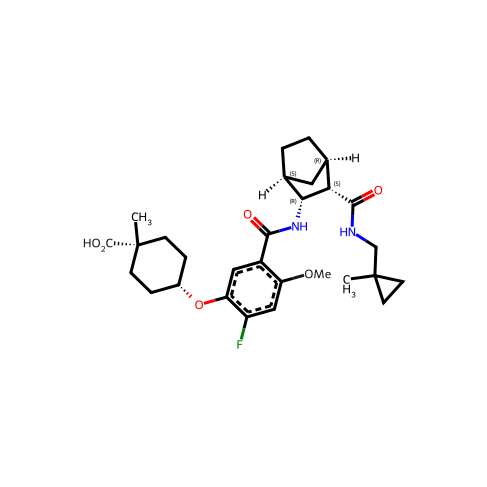 COc1cc(F)c(O[C@H]2CC[C@@](C)(C(=O)O)CC2)cc1C(=O)N[C@@H]1[C@H]2CC[C@H](C2)[C@@H]1C(=O)NCC1(C)CC1